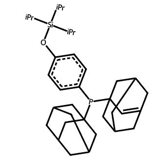 CC(C)[Si](Oc1ccc(P(C23C=C4CC(CC(C4)C2)C3)C23CC4CC(CC(C4)C2)C3)cc1)(C(C)C)C(C)C